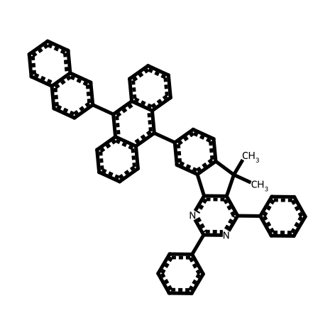 CC1(C)c2ccc(-c3c4ccccc4c(-c4ccc5ccccc5c4)c4ccccc34)cc2-c2nc(-c3ccccc3)nc(-c3ccccc3)c21